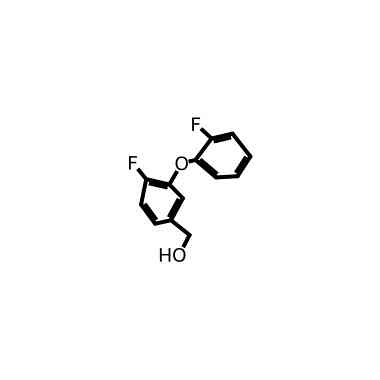 OCc1ccc(F)c(Oc2ccccc2F)c1